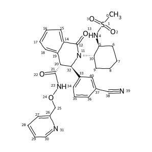 CS(=O)(=O)N[C@H]1CCCC[C@@H]1N1C(=O)c2ccccc2[C@@H](C(=O)NOCc2ccccn2)[C@@H]1c1cccc(C#N)c1